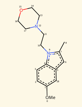 COc1ccc2c([c]c(C)n2CCN2CCOCC2)c1